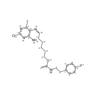 C=C(NCCc1ccc(F)cc1)OCCCCC/C=N\c1c(C)nc(Cl)nc1N